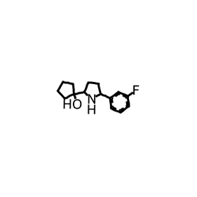 OC1(C2CCC(c3cccc(F)c3)N2)CCCC1